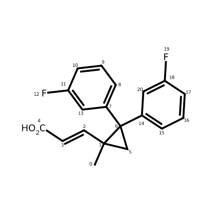 CC1(C=CC(=O)O)CC1(c1cccc(F)c1)c1cccc(F)c1